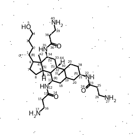 C[C@H](CCCO)C1CC[C@H]2C3[C@H](NC(=O)CCN)CC4C[C@H](NC(=O)CCN)CCC4(C)[C@H]3C[C@H](NC(=O)CCN)C12C